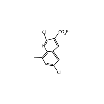 CCOC(=O)c1cc2cc(Cl)cc(C)c2nc1Cl